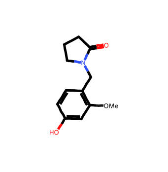 COc1cc(O)ccc1CN1CCCC1=O